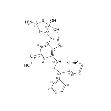 Cl.N[C@H]1C[C@@H](n2cnc3c(NCC(c4ccccc4)c4ccccc4)nc(Cl)nc32)C(O)(O)C1